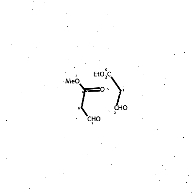 CCOC(=O)CC=O.COC(=O)CC=O